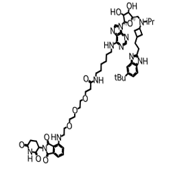 CC(C)N(C[C@H]1O[C@@H](n2cnc3c(NCCCCCCNC(=O)CCOCCOCCOCCNc4cccc5c4C(=O)N(C4CCC(=O)NC4=O)C5=O)ncnc32)C(O)C1O)C1CC(CCc2nc3cc(C(C)(C)C)ccc3[nH]2)C1